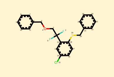 FC(F)(COCc1ccccc1)c1cc(Cl)ccc1SCc1ccccc1